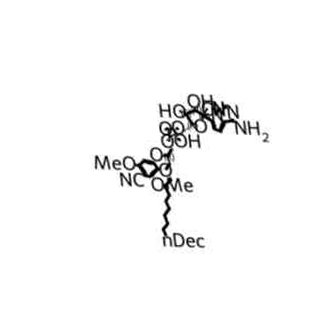 CCCCCCCCCCCCCCCCCCOC[C@H](COP(=O)(O)OC[C@H]1O[C@@](C#N)(c2ccc3c(N)ncnn23)[C@H](O)[C@@H]1O)Oc1cc(OC)c(C#N)c(OC)c1